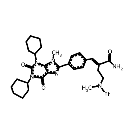 CCN(C)CC/C(=C\c1ccc(-c2nc3c(=O)n(C4CCCCC4)c(=O)n(C4CCCCC4)c3n2C)cc1)C(N)=O